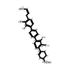 CCC/C=C\Cc1ccc(-c2ccc(-c3ccc(C4=CCC(CCCCCCCCCC)CC4)c(F)c3F)cc2)c(F)c1F